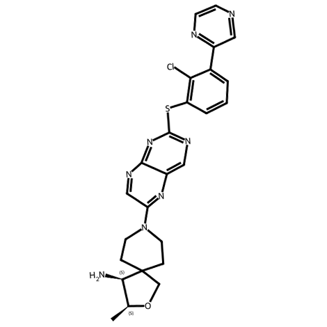 C[C@@H]1OCC2(CCN(c3cnc4nc(Sc5cccc(-c6cnccn6)c5Cl)ncc4n3)CC2)[C@@H]1N